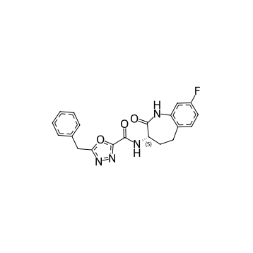 O=C(N[C@H]1CCc2ccc(F)cc2NC1=O)c1nnc(Cc2ccccc2)o1